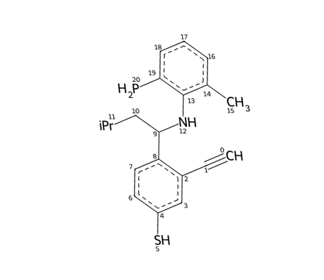 C#Cc1cc(S)ccc1C(CC(C)C)Nc1c(C)cccc1P